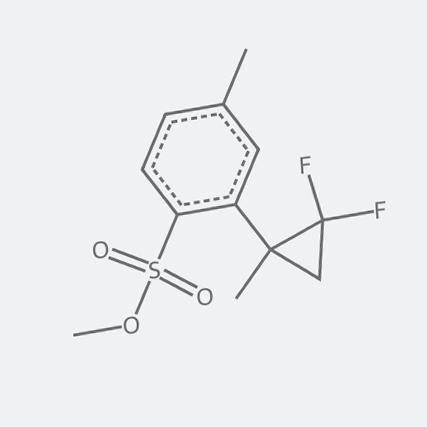 COS(=O)(=O)c1ccc(C)cc1C1(C)CC1(F)F